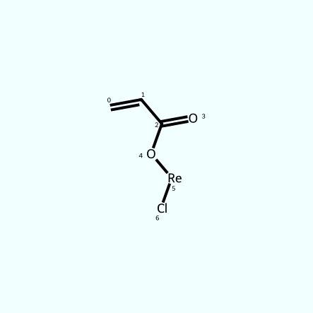 C=CC(=O)[O][Re][Cl]